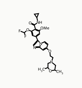 COc1cc(-c2cnc3cc(OCCN4CC(C)OC(C)C4)ccn23)cc(OC(F)F)c1C(=O)NC1CC1